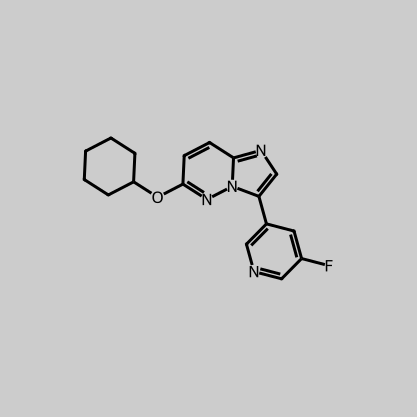 Fc1cncc(-c2cnc3ccc(OC4CCCCC4)nn23)c1